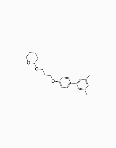 Cc1cc(C)cc(-c2ccc(OCCCOC3CCCCO3)cc2)c1